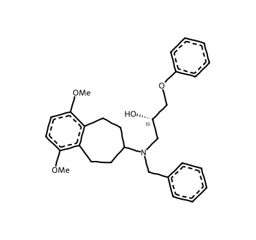 COc1ccc(OC)c2c1CCC(N(Cc1ccccc1)C[C@H](O)COc1ccccc1)CC2